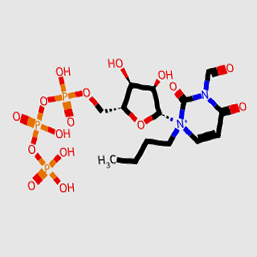 CCCC[N+]1([C@@H]2O[C@H](COP(=O)(O)OP(=O)(O)OP(=O)(O)O)[C@@H](O)[C@H]2O)C=CC(=O)N(C=O)C1=O